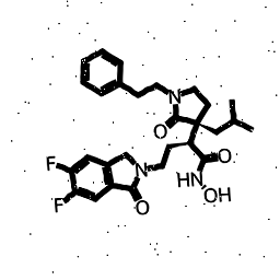 CC(C)C[C@]1([C@H](CCN2Cc3cc(F)c(F)cc3C2=O)C(=O)NO)CCN(CCc2ccccc2)C1=O